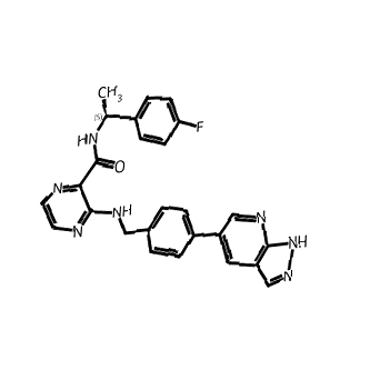 C[C@H](NC(=O)c1nccnc1NCc1ccc(-c2cnc3[nH]ncc3c2)cc1)c1ccc(F)cc1